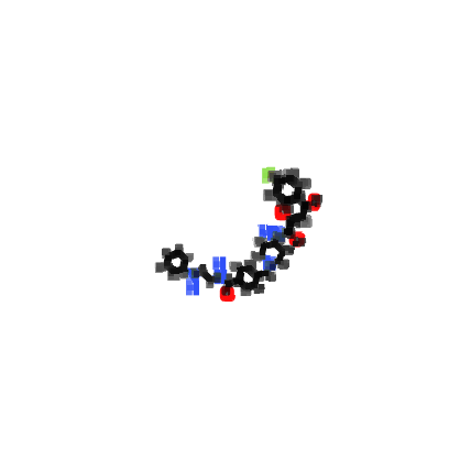 O=C(NCCNc1ccccc1)c1ccc(CN2CCC(NC(=O)c3cc(=O)c4ccc(F)cc4o3)CC2)cc1